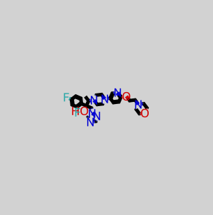 CC(N1CCN(c2ccc(OCCN3CCOCC3)nc2)CC1)C(O)(Cn1cncn1)c1ccc(F)cc1F